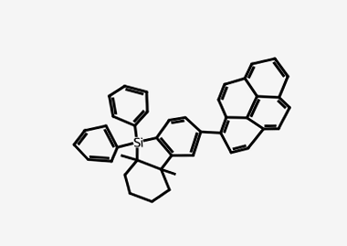 CC12CCCCC1(C)[Si](c1ccccc1)(c1ccccc1)c1ccc(-c3ccc4ccc5cccc6ccc3c4c56)cc12